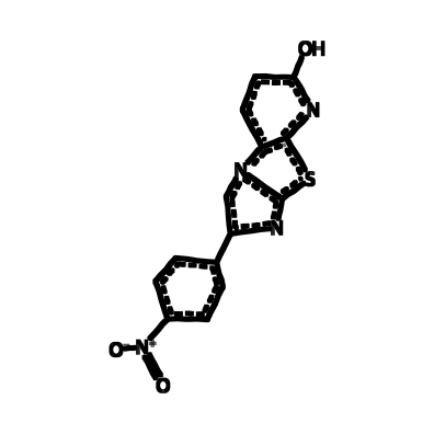 O=[N+]([O-])c1ccc(-c2cn3c(n2)sc2nc(O)ccc23)cc1